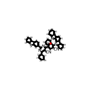 N#Cc1cc(-c2nc(-c3ccc4c(c3)sc3ccccc34)nc(-c3ccccc3)c2C#N)ccc1-n1c2ccccc2c2ccc3c4ccccc4n(-c4ccccc4)c3c21